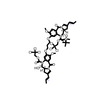 C/C=C/C1=CN2C(=O)c3cc(OC)c(OCCCOc4cc5c(cc4OC)C(=O)N4C=C(/C=C/C)C[C@H]4[C@H](O)N5C(=O)OCC(Cl)(Cl)Cl)cc3N(C(=O)OCC(Cl)(Cl)Cl)[C@@H](O[Si](C)(C)C(C)(C)C)[C@H]2C1